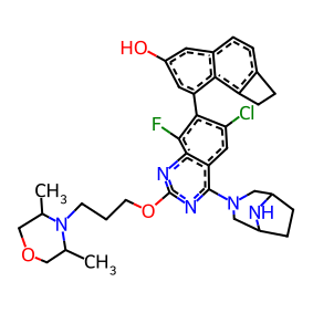 CC1COCC(C)N1CCCOc1nc(N2CC3CCC(C2)N3)c2cc(Cl)c(-c3cc(O)cc4ccc5c(c34)CC5)c(F)c2n1